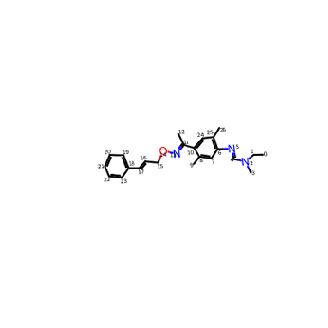 CCN(C)C=Nc1cc(C)c(C(C)=NOCC=Cc2ccccc2)cc1C